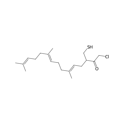 CC(C)=CCCC(C)=CCCC(C)=CCC(CS)C(=O)CCl